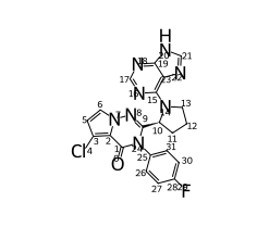 O=c1c2c(Cl)ccn2nc([C@@H]2CCCN2c2ncnc3[nH]cnc23)n1-c1ccc(F)cc1